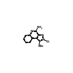 C[CH]CCc1c2c(nn1CC)c(N)nc1ccccc12